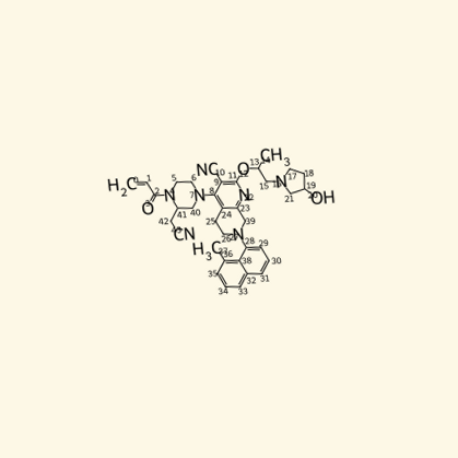 C=CC(=O)N1CCN(c2c(C#N)c(OC(C)CN3CCC(O)C3)nc3c2CCN(c2cccc4cccc(C)c24)C3)CC1CC#N